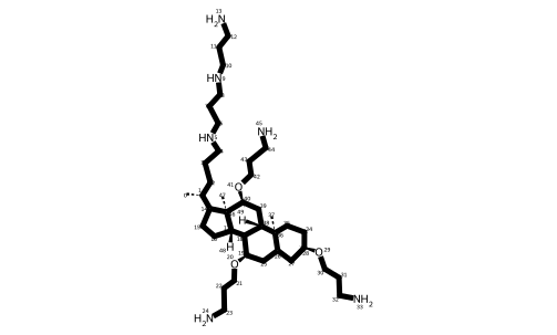 C[C@H](CCCNCCCNCCCN)C1CC[C@H]2C3[C@H](OCCCN)CC4C[C@H](OCCCN)CC[C@]4(C)[C@H]3C[C@H](OCCCN)[C@]12C